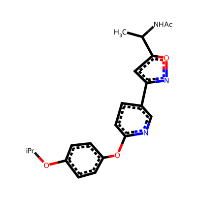 CC(=O)NC(C)c1cc(-c2ccc(Oc3ccc(OC(C)C)cc3)nc2)no1